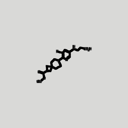 CC(C)(C)OC(=O)N1CC2(CCN(c3ncc(NCCC(=O)O)cc3F)CC2)C1